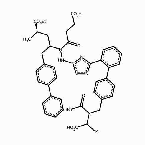 CCCCC(=O)N(Cc1ccc(-c2ccccc2-c2nnn(NN(C(=O)CCC(=O)O)C(Cc3ccc(-c4ccccc4)cc3)C[C@@H](C)C(=O)OCC)n2)cc1)C(C(=O)O)C(C)C